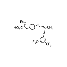 CCOC(Cc1ccc(OCC=C(C)C#Cc2cc(C(F)(F)F)cc(C(F)(F)F)c2)cc1)C(=O)O